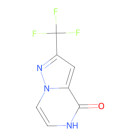 O=c1[nH]ccn2nc(C(F)(F)F)cc12